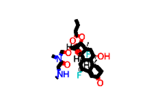 CCCC1O[C@@H]2C[C@H]3[C@@H]4C[C@H](F)C5=CC(=O)C=C[C@]5(C)[C@@]4(F)[C@@H](O)C[C@]3(C)[C@]2(C(=O)COCN(C)C(=O)CNC)O1